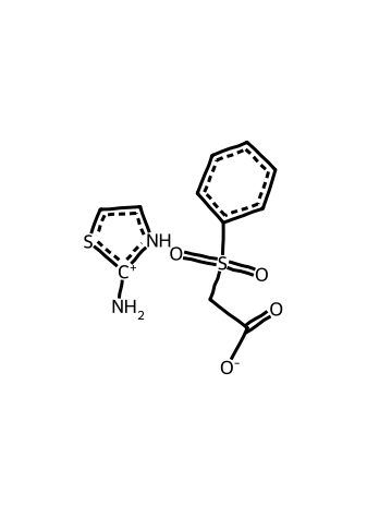 N[c+]1[nH]ccs1.O=C([O-])CS(=O)(=O)c1ccccc1